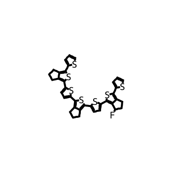 FC1CCc2c(-c3cccs3)sc(-c3ccc(-c4sc(-c5ccc(-c6sc(-c7cccs7)c7c6CCC7)s5)c5c4CCC5)s3)c21